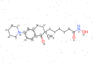 CC1(CCCCCC(=O)NO)CCc2cc(N3CCCCC3)ccc2C1=O